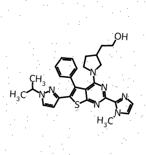 CC(C)n1ccc(-c2sc3nc(-c4nccn4C)nc(N4CCC(CCO)C4)c3c2-c2ccccc2)n1